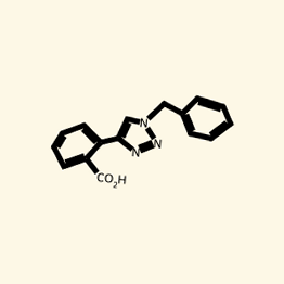 O=C(O)c1ccccc1-c1cn(Cc2ccccc2)nn1